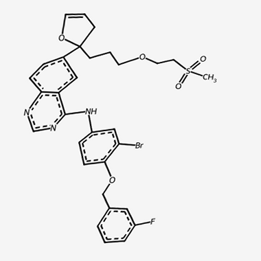 CS(=O)(=O)CCOCCCC1(c2ccc3ncnc(Nc4ccc(OCc5cccc(F)c5)c(Br)c4)c3c2)CC=CO1